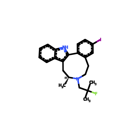 C[C@@H]1Cc2c([nH]c3ccccc23)-c2ccc(I)cc2CCN1CC(C)(C)F